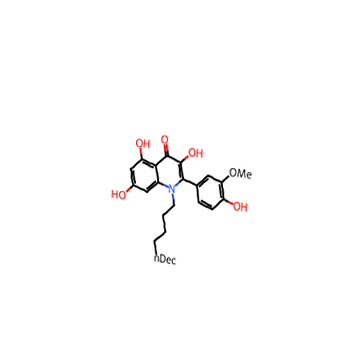 CCCCCCCCCCCCCCn1c(-c2ccc(O)c(OC)c2)c(O)c(=O)c2c(O)cc(O)cc21